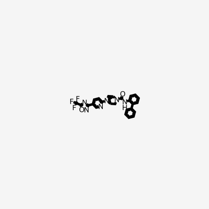 O=C(Nc1ccccc1-c1ccccc1)N1CC2CC1CN2c1ccc(-c2noc(C(F)(F)F)n2)cn1